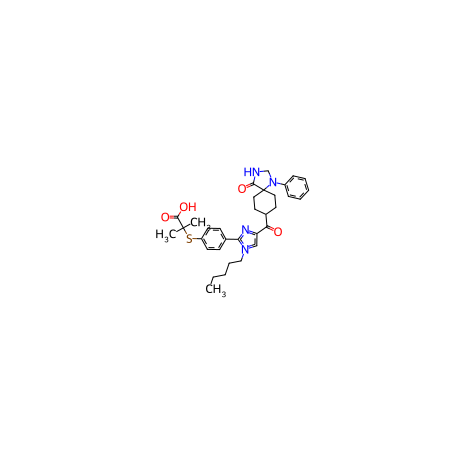 CCCCCn1cc(C(=O)C2CCC3(CC2)C(=O)NCN3c2ccccc2)nc1-c1ccc(SC(C)(C)C(=O)O)cc1